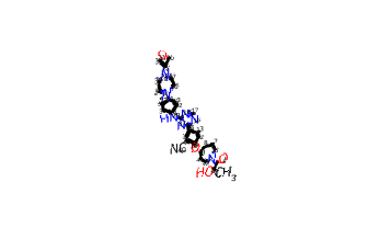 CC(O)C(=O)N1CCCC(Oc2ccc(-c3ncnc(Nc4ccc(N5CCN(C6COC6)CC5)cc4)n3)cc2C#N)CC1